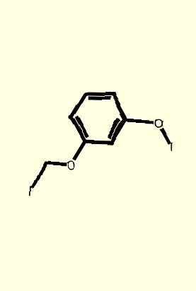 ICOc1cccc(OI)c1